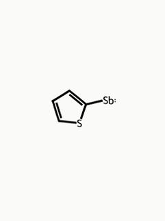 [Sb][c]1cccs1